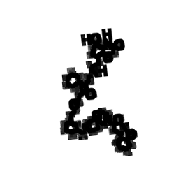 O=C1COc2c(CCNCCN(C(=O)CCOCCc3cccc(CN4CCC5(CC4)CN(C(=O)Cc4noc6ccccc46)CCO5)c3)C3CCCCC3)ccc(O)c2N1